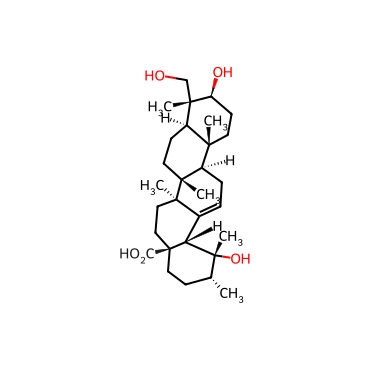 C[C@@H]1CC[C@]2(C(=O)O)CC[C@]3(C)C(=CC[C@@H]4[C@@]5(C)CC[C@H](O)[C@@](C)(CO)[C@@H]5CC[C@]43C)[C@@H]2[C@]1(C)O